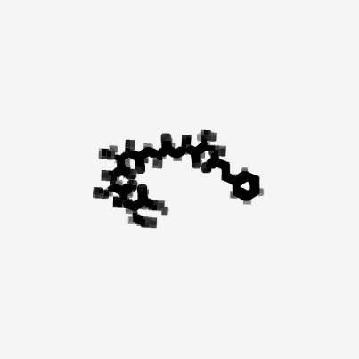 CC[C@H](C)[C@H](NC(=O)CCc1ccccc1)C(=O)NCC(=O)NCC(=O)N[C@@H](C(=O)N[C@H](C(=O)N[C@@H](CO)C(N)=O)[C@@H](C)CC)[C@@H](C)CC